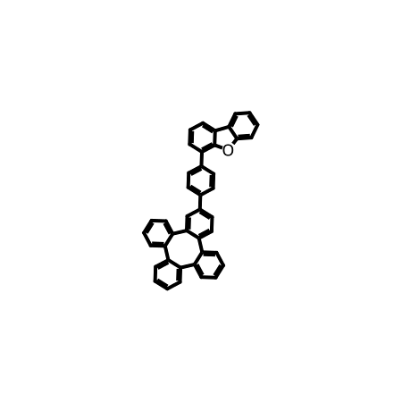 c1ccc2c(c1)-c1ccccc1-c1ccc(-c3ccc(-c4cccc5c4oc4ccccc45)cc3)cc1-c1ccccc1-2